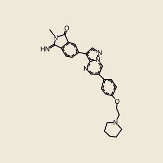 CN1C(=N)c2ccc(-c3cnn4cc(-c5ccc(OCCN6CCCCC6)cc5)cnc34)cc2C1=O